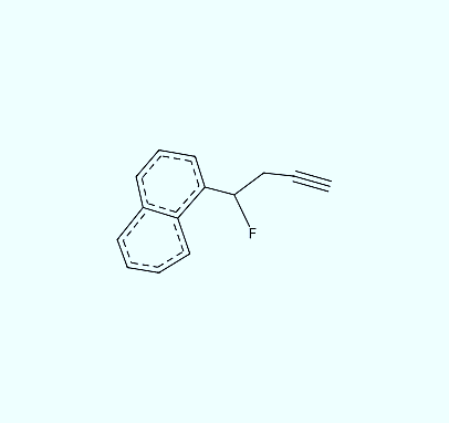 C#CCC(F)c1cccc2ccccc12